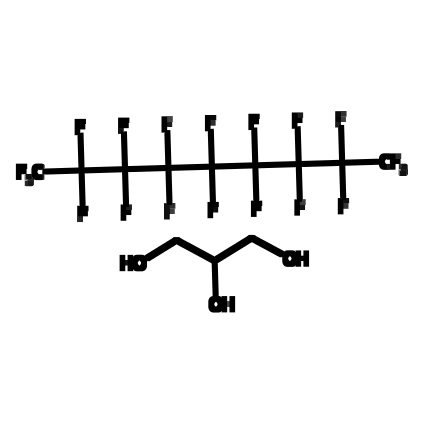 FC(F)(F)C(F)(F)C(F)(F)C(F)(F)C(F)(F)C(F)(F)C(F)(F)C(F)(F)C(F)(F)F.OCC(O)CO